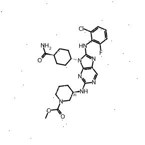 COC(=O)N1CCC[C@@H](Nc2ncc3nc(Nc4c(F)cccc4Cl)n([C@H]4CC[C@H](C(N)=O)CC4)c3n2)C1